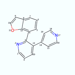 c1cnc(-c2cccc3ccoc23)c(-c2ccncc2)c1